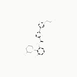 NC1CCCN(c2c(F)cccc2NC(=O)c2csc(-c3cnn(CCO)c3)n2)C1